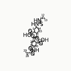 O=S(=O)(O)c1cc(NC(=S)NC2CC2)ccc1C=Cc1ccc(NS(=O)(=O)C2CC2)cc1S(=O)(=O)O